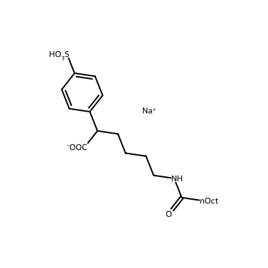 CCCCCCCCC(=O)NCCCCC(C(=O)[O-])c1ccc(S(=O)(=O)O)cc1.[Na+]